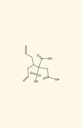 C=CCC(CC=C)C(CC(=O)O)(C(=O)O)S(=O)(=O)O